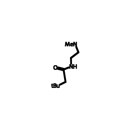 CNCCNC(=O)CC(C)(C)C